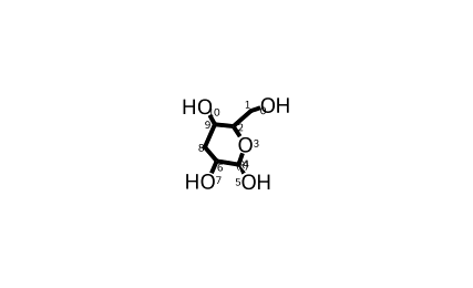 OCC1O[C@@H](O)C(O)CC1O